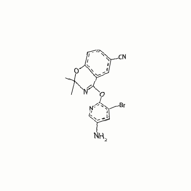 CC1(C)N=C(Oc2ncc(N)cc2Br)c2cc(C#N)ccc2O1